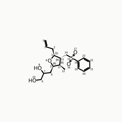 C=CC[C@@H]1O[C@H](CC(O)CO)[C@H](C)[C@H]1CS(=O)(=O)c1ccccc1